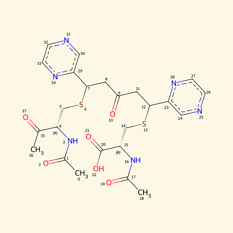 CC(=O)N[C@@H](CSC(CC(=O)CC(SC[C@H](NC(C)=O)C(=O)O)c1cnccn1)c1cnccn1)C(C)=O